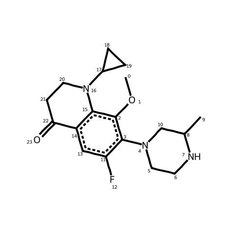 COc1c(N2CCNC(C)C2)c(F)cc2c1N(C1CC1)CCC2=O